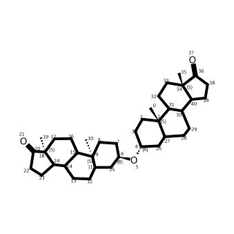 C[C@]12CC[C@@H](O[C@@H]3CC[C@@]4(C)C(CCC5C4CC[C@]4(C)C(=O)CCC54)C3)CC1CCC1C2CC[C@]2(C)C(=O)CCC12